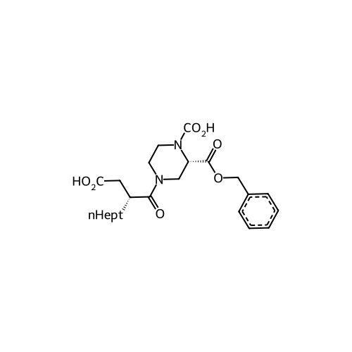 CCCCCCC[C@H](CC(=O)O)C(=O)N1CCN(C(=O)O)[C@H](C(=O)OCc2ccccc2)C1